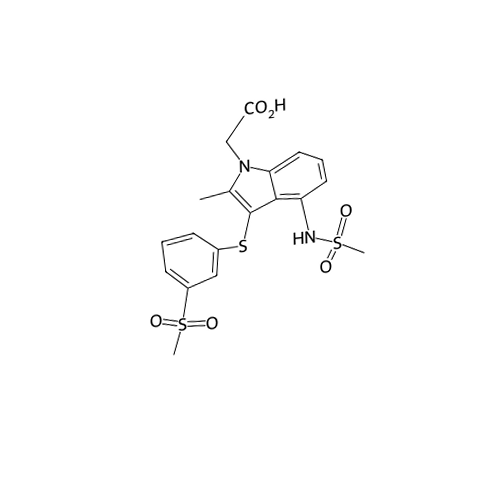 Cc1c(Sc2cccc(S(C)(=O)=O)c2)c2c(NS(C)(=O)=O)cccc2n1CC(=O)O